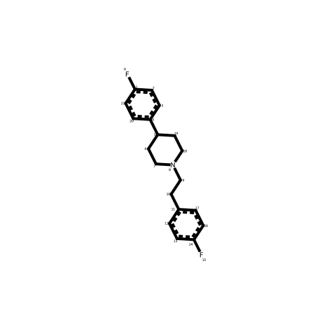 Fc1c[c]c(C2CCN(CCc3ccc(F)cc3)CC2)cc1